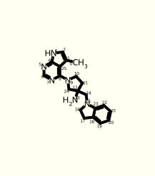 Cc1c[nH]c2ncnc(N3CCC(N)(CN4CCc5ccccc54)C3)c12